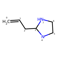 C=CCC1[N]CCN1